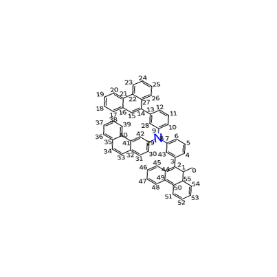 CC1C(c2cccc(N(c3cccc(-c4cc5ccccc5c5ccccc45)c3)c3ccc4ccc5ccccc5c4c3)c2)=c2ccccc2=C2C=CC=CC21